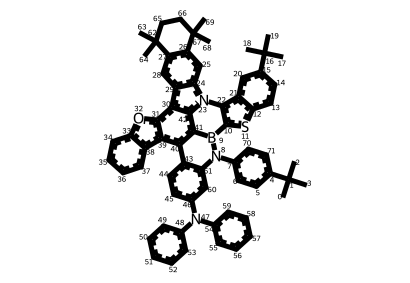 CC(C)(C)c1ccc(N2B3c4sc5ccc(C(C)(C)C)cc5c4-n4c5cc6c(cc5c5c7oc8ccccc8c7c(c3c54)-c3ccc(N(c4ccccc4)c4ccccc4)cc32)C(C)(C)CCC6(C)C)cc1